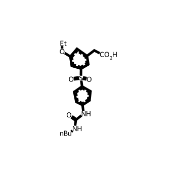 CCCCNC(=O)Nc1ccc(S(=O)(=O)c2cc(CC(=O)O)cc(OCC)c2)cc1